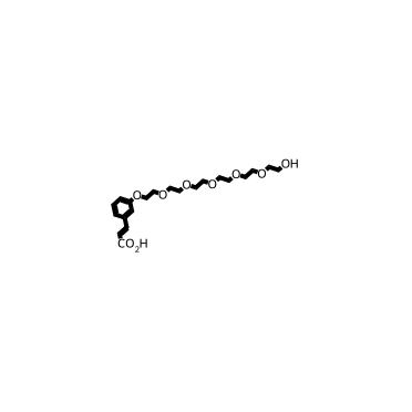 O=C(O)C=Cc1cccc(OCCOCCOCCOCCOCCOCCO)c1